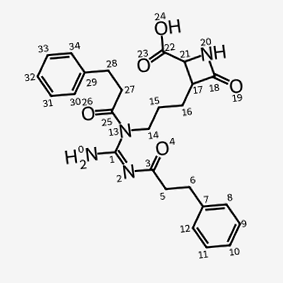 NC(=NC(=O)CCc1ccccc1)N(CCCC1C(=O)NC1C(=O)O)C(=O)CCc1ccccc1